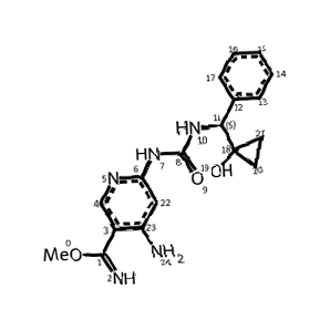 COC(=N)c1cnc(NC(=O)N[C@@H](c2ccccc2)C2(O)CC2)cc1N